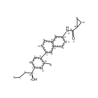 CCC[C@H](O)c1ncc(-c2cc3cnc(NC(=O)C4CC4)cc3cn2)c(C)n1